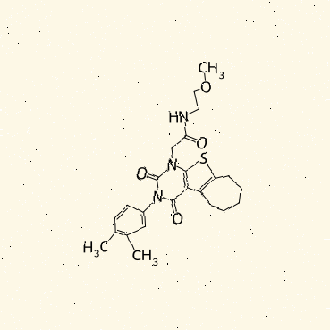 COCCNC(=O)Cn1c(=O)n(-c2ccc(C)c(C)c2)c(=O)c2c3c(sc21)CCCCC3